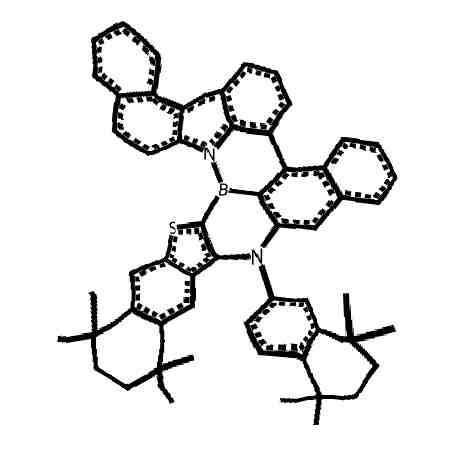 CC1(C)CCC(C)(C)c2cc(N3c4cc5ccccc5c5c4B(c4sc6cc7c(cc6c43)C(C)(C)CCC7(C)C)n3c4ccc6ccccc6c4c4cccc-5c43)ccc21